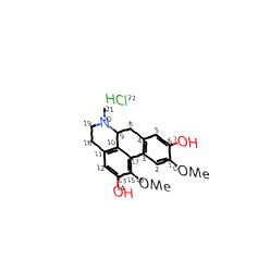 COc1cc2c(cc1O)CC1c3c(cc(O)c(OC)c3-2)CCN1C.Cl